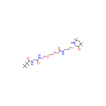 CC1(C)CC(C)(C)C(=O)[C@H](CCCCNC(=O)COCCOCCNC(=O)CNC(=O)C(C)(C)C(C)(C)C)N1